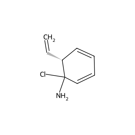 C=C[C@@H]1C=CC=CC1(N)Cl